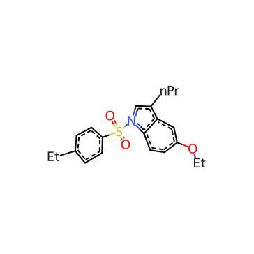 CCCc1cn(S(=O)(=O)c2ccc(CC)cc2)c2ccc(OCC)cc12